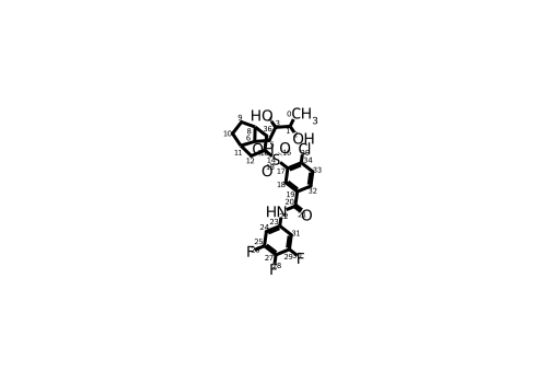 CC(O)C(O)CC1(O)C2CCC1CC(S(=O)(=O)c1cc(C(=O)Nc3cc(F)c(F)c(F)c3)ccc1Cl)C2